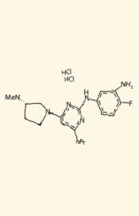 CCCc1cc(N2CC[C@H](NC)C2)nc(Nc2ccc(F)c(N)c2)n1.Cl.Cl